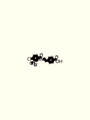 O=C(O)c1ccc(CCNC(=O)c2ccc(Cl)c([N+](=O)[O-])c2)cc1